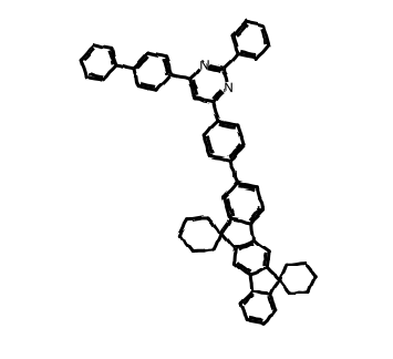 c1ccc(-c2ccc(-c3cc(-c4ccc(-c5ccc6c(c5)C5(CCCCC5)c5cc7c(cc5-6)C5(CCCCC5)c5ccccc5-7)cc4)nc(-c4ccccc4)n3)cc2)cc1